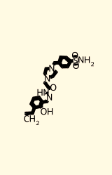 C=CCc1cccc(/C=N\NC(=O)CN2CCN(Cc3ccc(S(N)(=O)=O)cc3)CC2)c1O